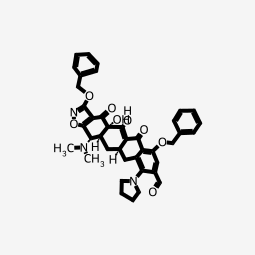 CN(C)[C@@H]1c2onc(OCc3ccccc3)c2C(=O)[C@@]2(O)C(O)=C3C(=O)c4c(OCc5ccccc5)cc(C=O)c(N5CCCC5)c4C[C@H]3C[C@@H]12